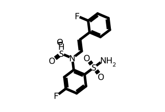 NS(=O)(=O)c1ccc(F)cc1N(C=Cc1ccccc1F)[SH](=O)=O